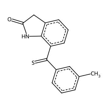 Cc1cccc(C(=S)c2cccc3c2NC(=O)C3)c1